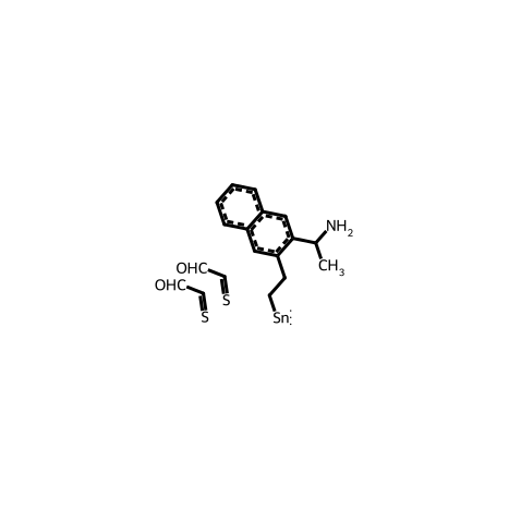 CC(N)c1cc2ccccc2cc1C[CH2][Sn].O=CC=S.O=CC=S